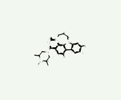 CC1CN(c2nc(=O)n3c4c5c(c(C(F)(F)F)cc24)-c2ccc(F)cc2S5(F)CCC3)CC(C)N1C